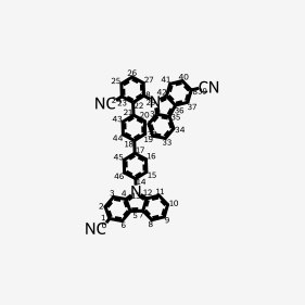 N#Cc1ccc2c(c1)c1ccccc1n2-c1ccc(-c2ccc(-c3c(C#N)cccc3-n3c4ccccc4c4cc(C#N)ccc43)cc2)cc1